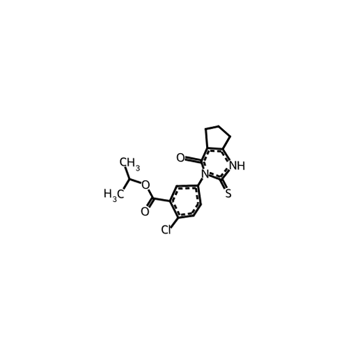 CC(C)OC(=O)c1cc(-n2c(=S)[nH]c3c(c2=O)CCC3)ccc1Cl